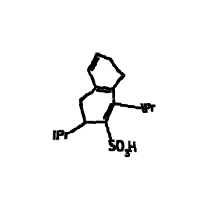 CC(C)C1=C(S(=O)(=O)O)C(C(C)C)CC2=C1CCC=C2